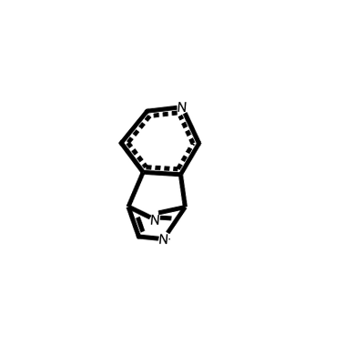 C1=C2N=C([N]1)c1cnccc12